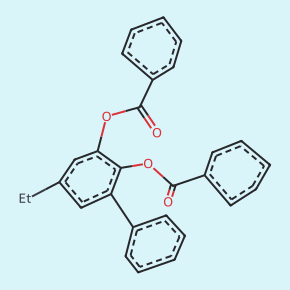 CCc1cc(OC(=O)c2ccccc2)c(OC(=O)c2ccccc2)c(-c2ccccc2)c1